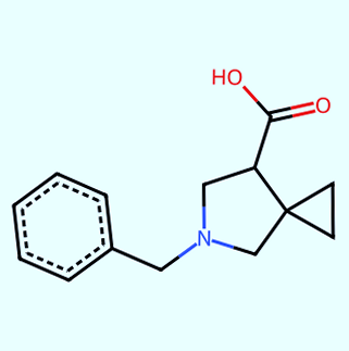 O=C(O)C1CN(Cc2ccccc2)CC12CC2